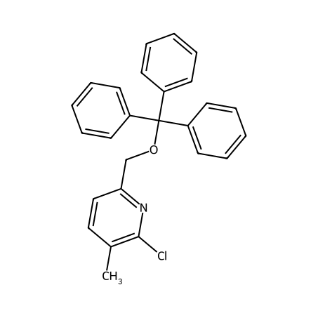 Cc1ccc(COC(c2ccccc2)(c2ccccc2)c2ccccc2)nc1Cl